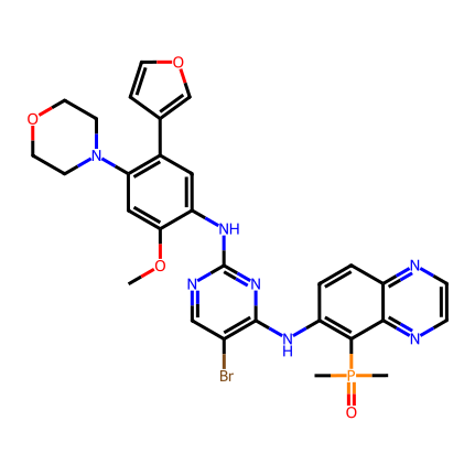 COc1cc(N2CCOCC2)c(-c2ccoc2)cc1Nc1ncc(Br)c(Nc2ccc3nccnc3c2P(C)(C)=O)n1